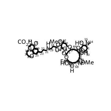 CC[C@H]1OC(=O)[C@H](C)[C@@H](O[C@H]2C[C@@](C)(OC)[C@@H](OC(=O)CCNCCCc3cc4c5c(c3)c(=O)c(C(=O)O)cn5CCCO4)[C@H](C)O2)[C@H](C)[C@@H](O[C@@H]2O[C@H](C)C[C@H](N(C)C)[C@H]2O)[C@](C)(O)C[C@@H](C)/C(=N\OC)[C@H](C)[C@@H](O)[C@]1(C)O